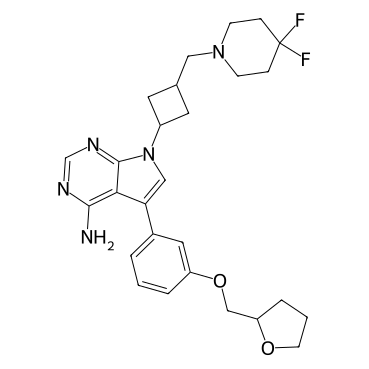 Nc1ncnc2c1c(-c1cccc(OCC3CCCO3)c1)cn2C1CC(CN2CCC(F)(F)CC2)C1